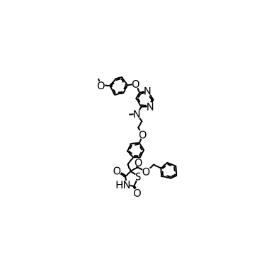 COc1ccc(Oc2cc(N(C)CCOc3ccc(CC4(C(=O)OCc5ccccc5)SC(=O)NC4=O)cc3)ncn2)cc1